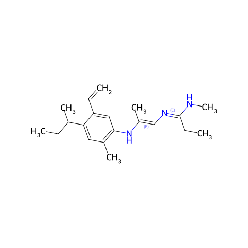 C=Cc1cc(N/C(C)=C/N=C(\CC)NC)c(C)cc1C(C)CC